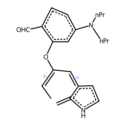 C=c1[nH]cc/c1=C/C(=C\C)Oc1cc(N(CCC)CCC)ccc1C=O